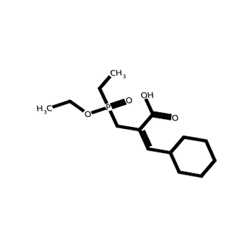 CCOP(=O)(CC)C/C(=C/C1CCCCC1)C(=O)O